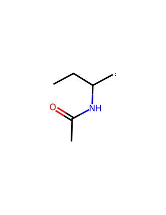 [CH]C(CC)NC(C)=O